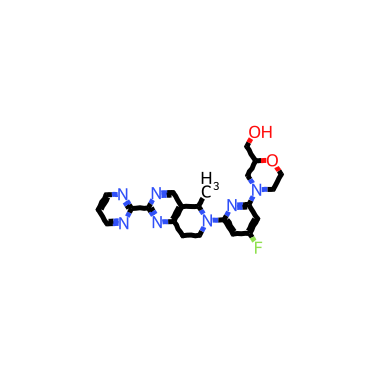 CC1c2cnc(-c3ncccn3)nc2CCN1c1cc(F)cc(N2CCOC(CO)C2)n1